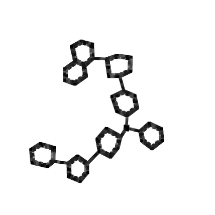 c1ccc(-c2cccc(-c3ccc(N(c4ccccc4)c4ccc(-c5cccc(-c6cccc7ccccc67)c5)cc4)cc3)c2)cc1